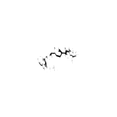 CN1CCO[C@@H](COCc2ccc(-c3nnc(C(F)F)o3)cn2)C1